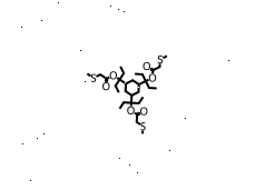 CCC(CC)(OC(=O)CSC)C1CC(C(CC)(CC)OC(=O)CSC)CC(C(CC)(CC)OC(=O)CSC)C1